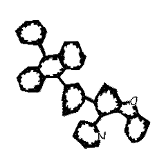 c1ccc(-c2c3ccccc3c(-c3cccc(-c4ccc5oc6ccccc6c5c4-c4ccccn4)c3)c3ccccc23)cc1